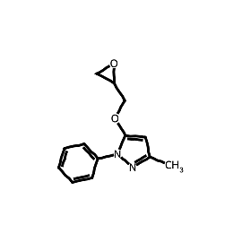 Cc1cc(OCC2CO2)n(-c2ccccc2)n1